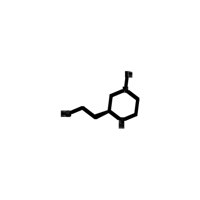 CCN1CCN[C@@H](CCO)C1